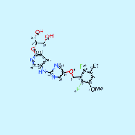 CCc1cc(OC)c(F)c(COc2cnc(Nc3ccc(OC(CO)CO)nc3)nc2)c1F